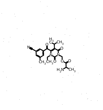 CCn1c(C(=O)c2cc(C)cc(C#N)c2)c(C(C)C)c(=O)n(COC(=O)C(C)N)c1=O